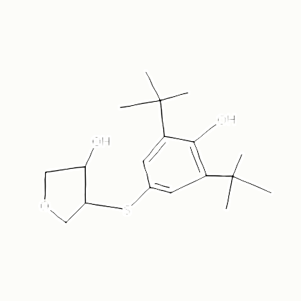 CC(C)(C)c1cc(SC2COCC2O)cc(C(C)(C)C)c1O